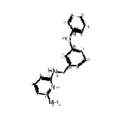 Nc1cccc(NCc2cccc(Oc3ccccc3)c2)n1